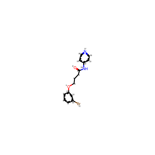 O=C(CCCOc1cccc(Br)c1)Nc1ccncc1